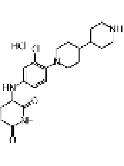 Cl.O=C1CCC(Nc2ccc(N3CCC(C4CCNCC4)CC3)c(Cl)c2)C(=O)N1